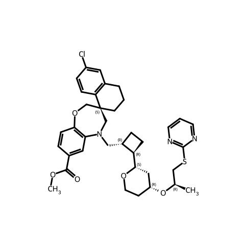 COC(=O)c1ccc2c(c1)N(C[C@@H]1CC[C@H]1[C@@H]1C[C@H](O[C@H](C)CSc3ncccn3)CCO1)C[C@@]1(CCCc3cc(Cl)ccc31)CO2